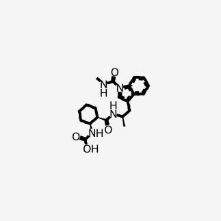 CNC(=O)n1cc(C[C@@H](C)NC(=O)[C@@H]2CCCC[C@@H]2NC(=O)O)c2ccccc21